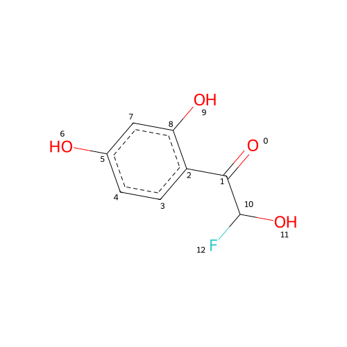 O=C(c1ccc(O)cc1O)C(O)F